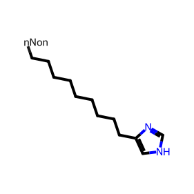 CCCCCCCCCCCCCCCCCCc1c[nH]cn1